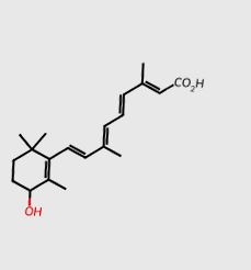 CC(C=CC1=C(C)C(O)CCC1(C)C)=CC=CC(C)=CC(=O)O